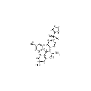 CC(O)C(N1CCN(S(=O)(=O)c2cccs2)CC1)n1c2ccc(Br)cc2c2cc(Br)ccc21